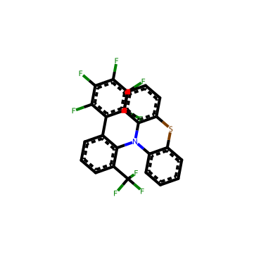 Fc1c(F)c(F)c(-c2cccc(C(F)(F)F)c2N2c3ccccc3Sc3ccccc32)c(F)c1F